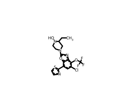 CCC1CN(c2nc3c(OC(F)(F)F)c(Cl)cc(-c4nccs4)c3o2)CCN1O